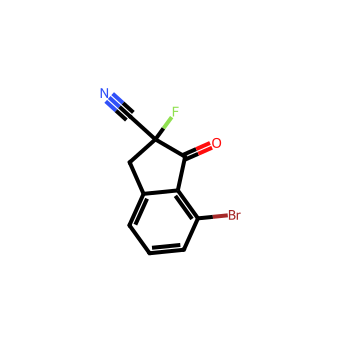 N#CC1(F)Cc2cccc(Br)c2C1=O